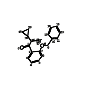 O=C(c1ccccc1OCc1ccccc1)C(Br)C1CC1